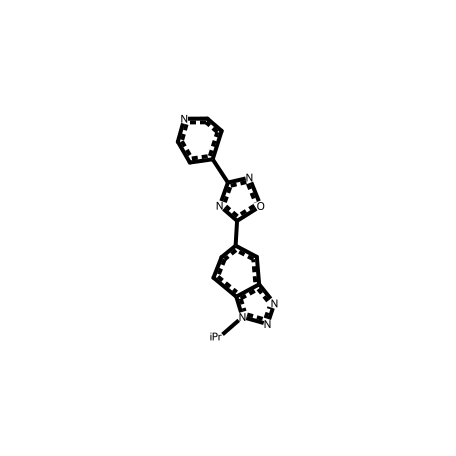 CC(C)n1nnc2cc(-c3nc(-c4ccncc4)no3)ccc21